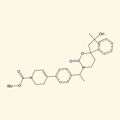 CC(c1ccc(C2=CCN(C(=O)OC(C)(C)C)CC2)cc1)N1CCC(CC(C)(C)O)(c2ccccc2)OC1=O